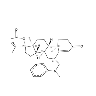 CC(=O)O[C@@]1(C(C)=O)CC[C@H]2[C@@H]3C[C@@H](CN(C)c4ccccc4)C4=CC(=O)CC[C@]4(C)[C@H]3CC[C@@]21C